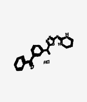 CC(c1cccc(C(=O)c2ccccc2)c1)c1nnc(N=C2NCCCN2)o1.Cl